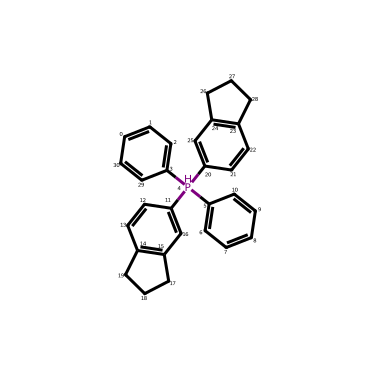 c1ccc([PH](c2ccccc2)(c2ccc3c(c2)CCC3)c2ccc3c(c2)CCC3)cc1